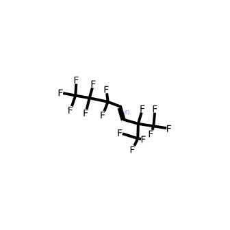 FC(F)(F)C(F)(F)C(F)(F)/C=C/C(F)(C(F)(F)F)C(F)(F)F